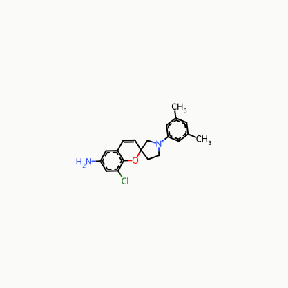 Cc1cc(C)cc(N2CCC3(C=Cc4cc(N)cc(Cl)c4O3)C2)c1